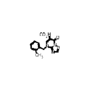 Cc1ccccc1Cn1cc(C(=O)O)c(=O)n2ncnc12